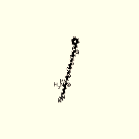 [N-]=[N+]=NCCCC[C@H](N)C(=O)NCCOCCOCCOCCOCCC(=O)OCc1ccccc1